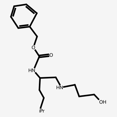 CC(C)CCC(CNCCCO)NC(=O)OCc1ccccc1